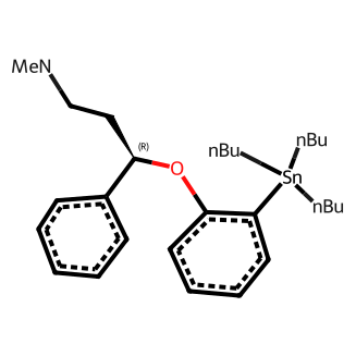 CCC[CH2][Sn]([CH2]CCC)([CH2]CCC)[c]1ccccc1O[C@H](CCNC)c1ccccc1